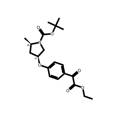 CCOC(=O)C(=O)c1ccc(O[C@H]2C[C@@H](C)N(C(=O)OC(C)(C)C)C2)cc1